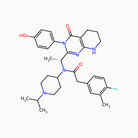 Cc1cc(CC(=O)N(C2CCN(C(C)C)CC2)[C@H](C)c2nc3c(c(=O)n2-c2ccc(O)cc2)CCCN3)ccc1F